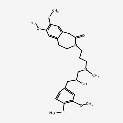 COc1ccc(CC(O)CN(C)CCCN2CCc3cc(OC)c(OC)cc3CC2=O)cc1OC